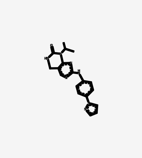 CC(C)N1C(=O)NCc2cnc(Nc3ccc(-n4cccn4)cc3)nc21